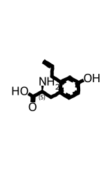 C=CCc1cc(O)ccc1C[C@H](N)C(=O)O